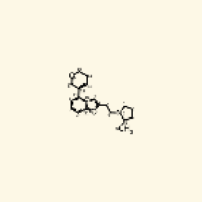 C[C@@H]1CCCN1CCc1cc2c(C3=CCCOC3)cccc2o1